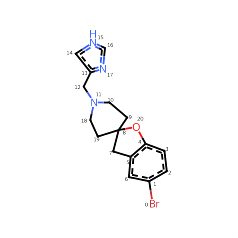 Brc1ccc2c(c1)CC1(CCN(Cc3c[nH]cn3)CC1)O2